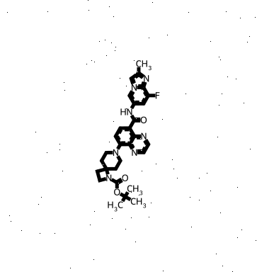 Cc1cn2cc(NC(=O)c3ccc(N4CCC5(CC4)CCN5C(=O)OC(C)(C)C)c4nccnc34)cc(F)c2n1